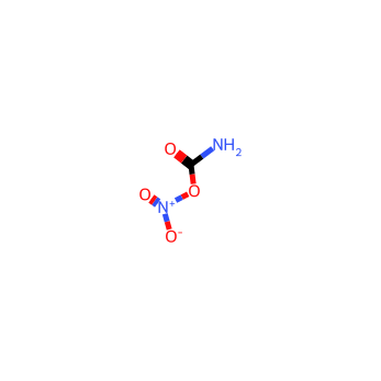 NC(=O)O[N+](=O)[O-]